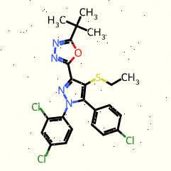 CCSc1c(-c2nnc(C(C)(C)C)o2)nn(-c2ccc(Cl)cc2Cl)c1-c1ccc(Cl)cc1